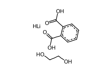 O=C(O)c1ccccc1C(=O)O.OCCO.[LiH]